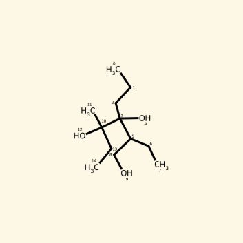 CC[CH]C(O)(C(CC)CO)C(C)(O)CC